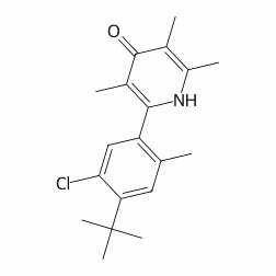 Cc1cc(C(C)(C)C)c(Cl)cc1-c1[nH]c(C)c(C)c(=O)c1C